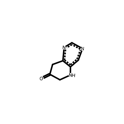 O=C1CNc2cncnc2C1